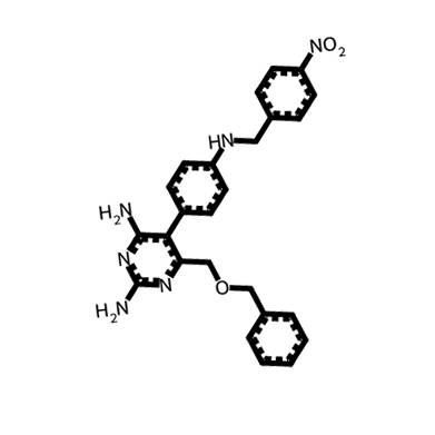 Nc1nc(N)c(-c2ccc(NCc3ccc([N+](=O)[O-])cc3)cc2)c(COCc2ccccc2)n1